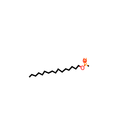 CCCCCCCCCCCCCCCCO[PH](C)=O